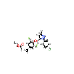 CCOC(=O)CC1CC1c1cc(F)c(OCC2CC(C)=NN2c2ccc(Cl)cc2)c(F)c1